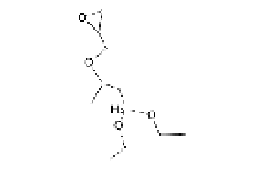 CCO[SiH](CC(C)OCC1CO1)OCC